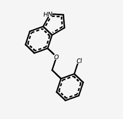 Clc1ccccc1COc1cccc2[nH]ccc12